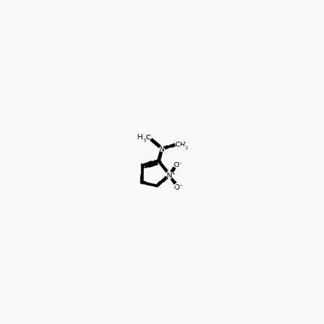 CN(C)C1=CCC[N+]1([O-])[O-]